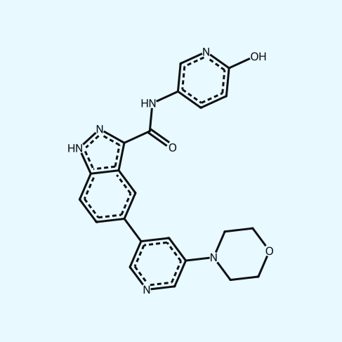 O=C(Nc1ccc(O)nc1)c1n[nH]c2ccc(-c3cncc(N4CCOCC4)c3)cc12